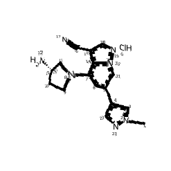 Cl.Cn1cc(-c2cc(N3CC[C@H](N)C3)c3c(C#N)cnn3c2)cn1